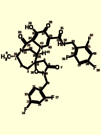 C[C@H]1CC[C@]2(CC(=O)N(Cc3ccc(F)cc3F)O2)[C@H]2CN1C(=O)c1c(O)c(=O)c(C(=O)NCc3c(F)cc(F)cc3F)cn12